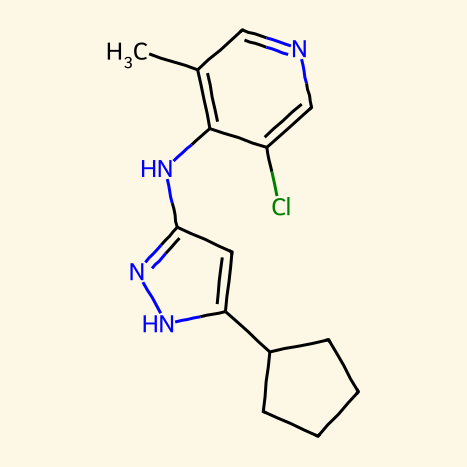 Cc1cncc(Cl)c1Nc1cc(C2CCCC2)[nH]n1